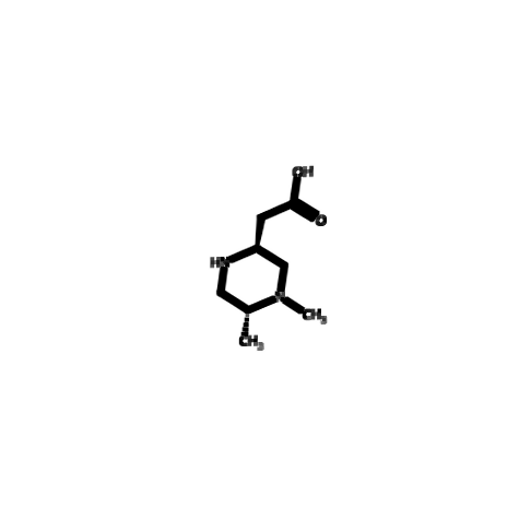 C[C@@H]1CN[C@@H](CC(=O)O)CN1C